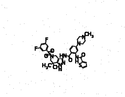 CN1CCN(c2ccc(C(=O)Nc3n[nH]c4c3CN(S(=O)(=O)c3cc(F)cc(F)c3)CC4(C)C)c(NC(=O)c3cccs3)c2)CC1